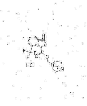 Cl.O=C(OCC12CCN(CC1)CC2)c1c[nH]c2cccc(C(F)(F)F)c12